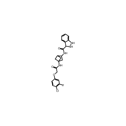 O=C(COc1ccc(Cl)c(F)c1)NC12CC(C1)C(NC(=O)C1NNc3ccccc31)C2